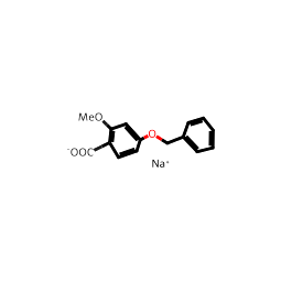 COc1cc(OCc2ccccc2)ccc1C(=O)[O-].[Na+]